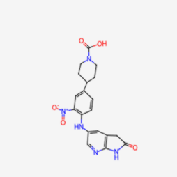 O=C1Cc2cc(Nc3ccc(C4CCN(C(=O)O)CC4)cc3[N+](=O)[O-])cnc2N1